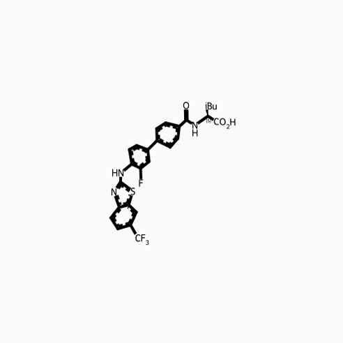 CCC(C)[C@H](NC(=O)c1ccc(-c2ccc(Nc3nc4ccc(C(F)(F)F)cc4s3)c(F)c2)cc1)C(=O)O